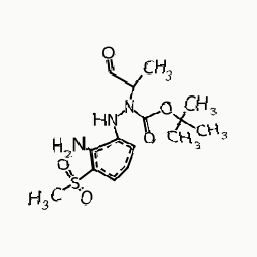 CC(C=O)N(Nc1cccc(S(C)(=O)=O)c1N)C(=O)OC(C)(C)C